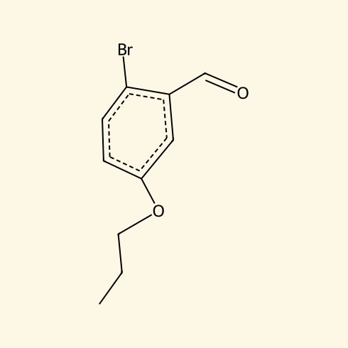 CCCOc1ccc(Br)c(C=O)c1